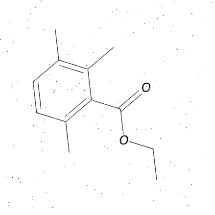 CCOC(=O)c1c(C)ccc(C)c1C